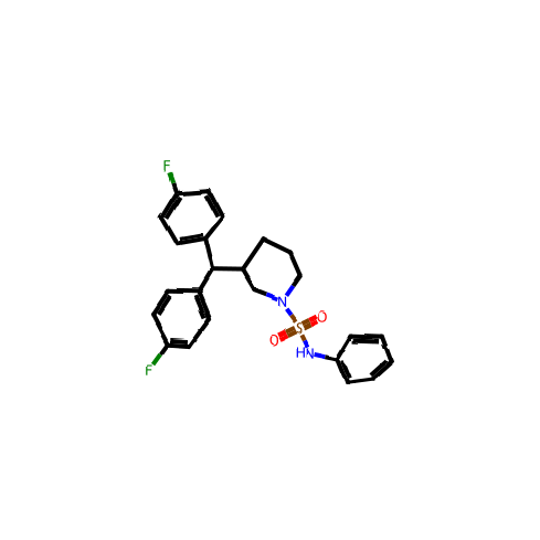 O=S(=O)(Nc1ccccc1)N1CCCC(C(c2ccc(F)cc2)c2ccc(F)cc2)C1